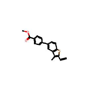 C=Cc1sc2ccc(-c3ccc(C(=O)OC)cc3)cc2c1C